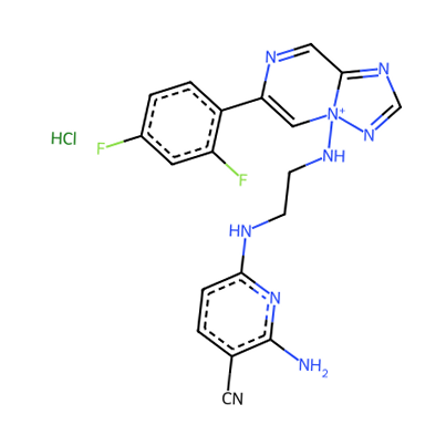 Cl.N#Cc1ccc(NCCN[N+]23C=C(c4ccc(F)cc4F)N=CC2=NC=N3)nc1N